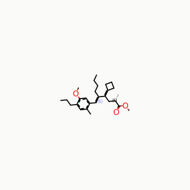 CCCC/C(=C\c1cc(OC)c(CCC)cc1C)C(C[C@H](C)C(=O)OC)=C1CCC1